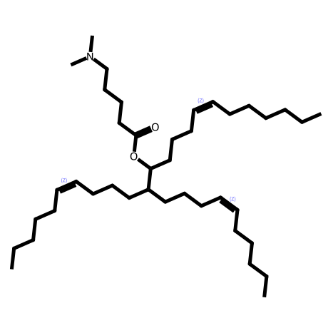 CCCCC/C=C\CCCC(CCC/C=C\CCCCC)C(CCC/C=C\CCCCCC)OC(=O)CCCCN(C)C